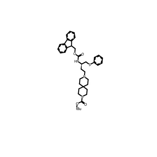 CC(C)(C)OC(=O)N1CCC2(CCN(CC[C@H](CSc3ccccc3)NC(=O)OCC3c4ccccc4-c4ccccc43)CC2)CC1